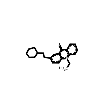 O=C(O)Cn1c2ccccc2c(=O)c2cc(CCC3CCCCC3)ccc21